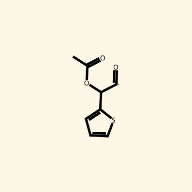 CC(=O)OC([C]=O)c1cccs1